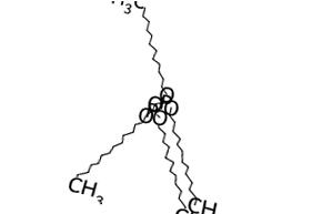 CCCCCCCCCCCCCOP(OCCCCCCCCCCCCC)OP(OCCCCCCCCCCCCC)OCCCCCCCCCCCCC